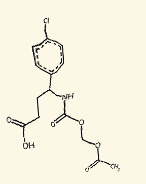 CC(=O)OCOC(=O)NC(CCC(=O)O)c1ccc(Cl)cc1